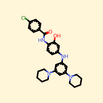 O=C(Nc1ccc(Nc2cc(N3CCCCC3)cc(N3CCCCC3)c2)cc1O)c1ccc(Cl)cc1